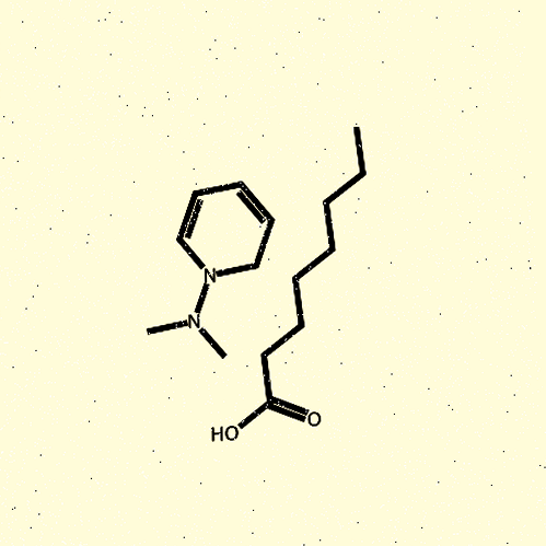 CCCCCCCC(=O)O.CN(C)N1C=CC=CC1